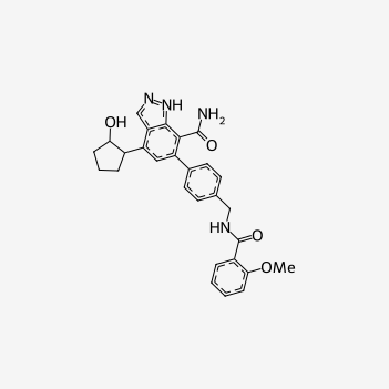 COc1ccccc1C(=O)NCc1ccc(-c2cc(C3CCCC3O)c3cn[nH]c3c2C(N)=O)cc1